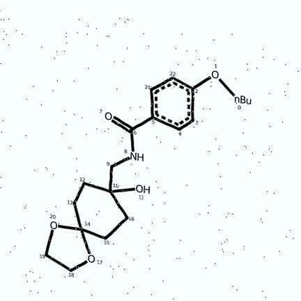 CCCCOc1ccc(C(=O)NCC2(O)CCC3(CC2)OCCO3)cc1